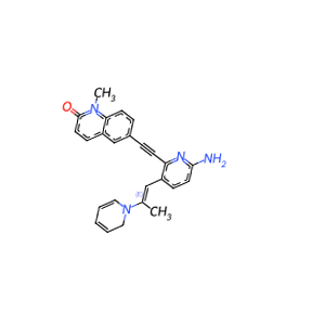 C/C(=C\c1ccc(N)nc1C#Cc1ccc2c(ccc(=O)n2C)c1)N1C=CC=CC1